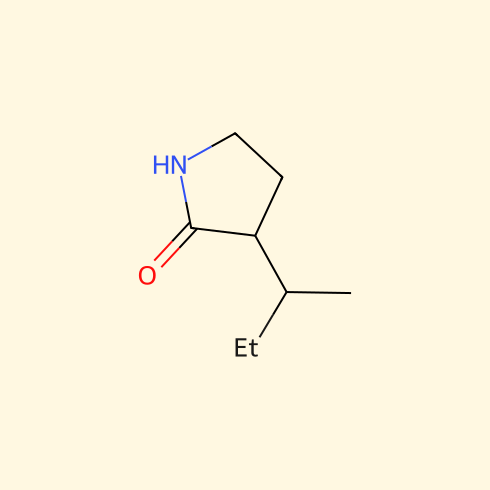 CCC(C)C1CCNC1=O